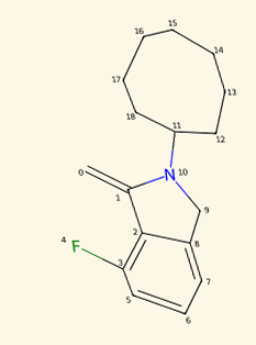 C=C1c2c(F)cccc2CN1C1CCCCCCC1